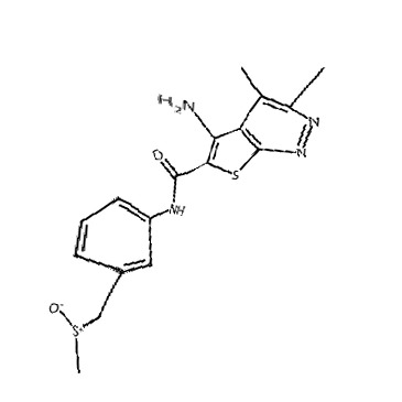 Cc1nnc2sc(C(=O)Nc3cccc(C[S+](C)[O-])c3)c(N)c2c1C